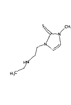 CCNCCn1ccn(C)c1=S